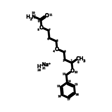 CC(CCOCCCOC(N)=O)OCc1ccccc1.[H-].[Na+]